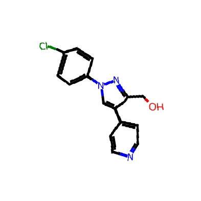 OCc1nn(-c2ccc(Cl)cc2)cc1-c1ccncc1